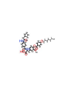 CCCCCCCOc1ccc(C(=O)Oc2ccc(CC(NC(=O)c3ccc(NC(=O)CC4CCCC4)cc3)C(=O)O)cc2OC)cc1